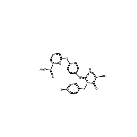 COC(=O)c1cccc(Oc2ccc(/N=c3\[nH]cc(C(C)(C)C)c(=O)n3Cc3ccc(Cl)cc3)cc2)n1